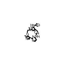 CC1CCOc2c(cnn2C)-c2nccc(n2)Nc2cc3c(cn2)c(NC2COC2)nn31